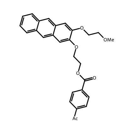 COCCOc1cc2cc3ccccc3cc2cc1OCCOC(=O)c1ccc(C(C)=O)cc1